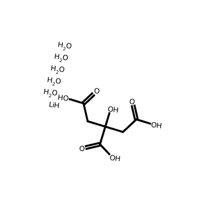 O.O.O.O.O.O=C(O)CC(O)(CC(=O)O)C(=O)O.[LiH]